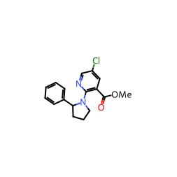 COC(=O)c1cc(Cl)cnc1N1CCCC1c1ccccc1